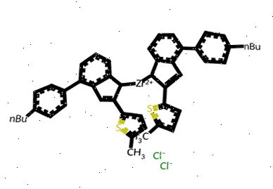 CCCCc1ccc(-c2cccc3c2C=C(c2ccc(C)s2)[CH]3[Zr+2][CH]2C(c3ccc(C)s3)=Cc3c(-c4ccc(CCCC)cc4)cccc32)cc1.[Cl-].[Cl-]